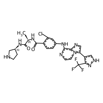 C[C@@H](NC(=O)c1ccc(Nc2nccn3c(-c4c[nH]nc4C(F)(F)F)cnc23)cc1Cl)C(=O)N[C@H]1CCNC1